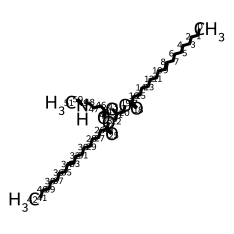 CCCCCCCCC=CCCCCCCCC(=O)OCC(COC(=O)CCCCCCCC=CCCCCCCCC)OC(=O)CCCNCC